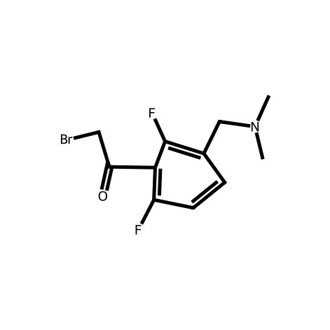 CN(C)Cc1ccc(F)c(C(=O)CBr)c1F